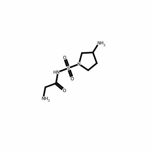 NCC(=O)NS(=O)(=O)N1CCC(N)C1